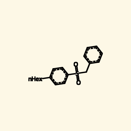 [CH2]CCCCCc1ccc(S(=O)(=O)Cc2ccccc2)cc1